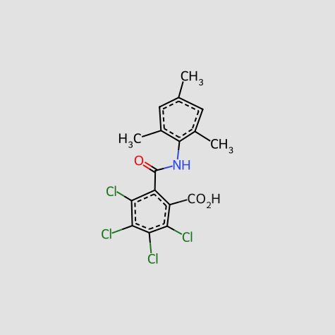 Cc1cc(C)c(NC(=O)c2c(Cl)c(Cl)c(Cl)c(Cl)c2C(=O)O)c(C)c1